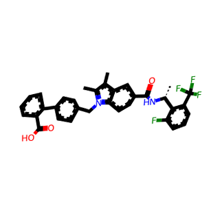 Cc1c(C)n(Cc2ccc(-c3ccccc3C(=O)O)cc2)c2ccc(C(=O)N[C@H](C)c3c(F)cccc3C(F)(F)F)cc12